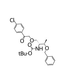 C[C@@H](OCc1ccccc1)[C@@H](COCC(=O)c1ccc(Cl)cc1)NC(=O)OC(C)(C)C